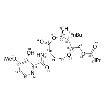 CCCC[C@H]1[C@H](C)OC(=O)[C@@H](NC(=O)c2nccc(OC)c2O)CCO[C@@H]1COC(=O)C(C)C